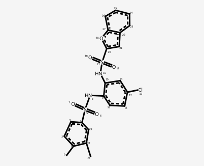 Cc1ccc(S(=O)(=O)Nc2ccc(Cl)cc2NS(=O)(=O)c2cc3ccccc3o2)cc1C